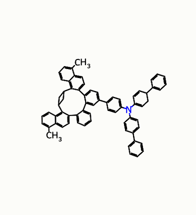 Cc1cccc2c3c(ccc12)-c1ccccc1-c1cc(-c2ccc(N(C4=CCC(c5ccccc5)C=C4)c4ccc(-c5ccccc5)cc4)cc2)ccc1-c1ccc2c(C)cccc2c1C1CC3C1